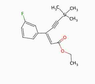 CCOC(=O)C=C(C#C[Si](C)(C)C)c1cccc(F)c1